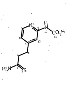 NC(=S)CCc1ccnc(NC(=O)O)c1